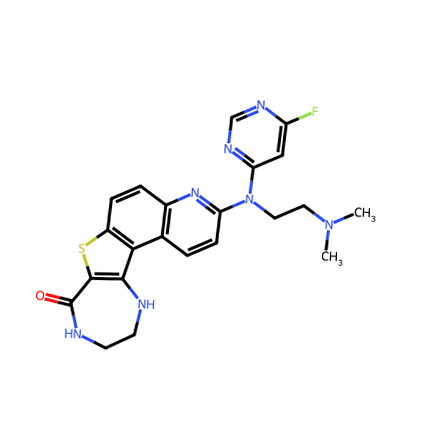 CN(C)CCN(c1cc(F)ncn1)c1ccc2c(ccc3sc4c(c32)NCCNC4=O)n1